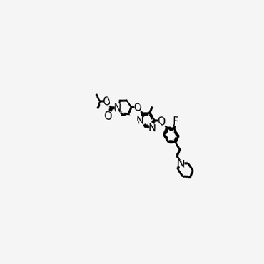 Cc1c(Oc2ccc(CCN3CCCCC3)cc2F)ncnc1OC1CCN(C(=O)OC(C)C)CC1